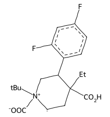 CCC1(C(=O)O)C[CH][N+](C(=O)[O-])(C(C)(C)C)CC1c1ccc(F)cc1F